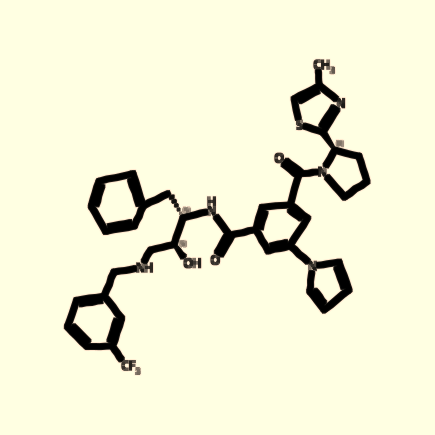 Cc1csc([C@H]2CCCN2C(=O)c2cc(C(=O)N[C@@H](Cc3ccccc3)[C@@H](O)CNCc3cccc(C(F)(F)F)c3)cc(-n3cccc3)c2)n1